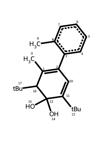 CC1=C(c2ccccc2C)C=C(C(C)(C)C)C(O)(O)C1C(C)(C)C